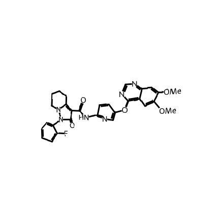 COc1cc2ncnc(Oc3ccc(NC(=O)c4c5n(n(-c6ccccc6F)c4=O)CCCC5)nc3)c2cc1OC